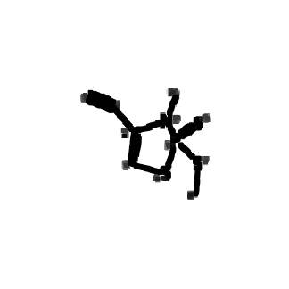 C#CC1=CSP(=S)(SC)N1C